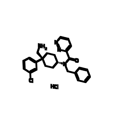 Cl.NC[C@]1(c2cccc(Cl)c2)CC[C@@H](N(Cc2ccccc2)C(=O)c2cccnn2)CC1